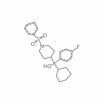 O=S(=O)(c1ccccc1)N1CCC(C(O)(c2ccc(F)cc2)C2CCCCC2)CC1